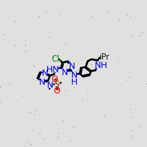 CC(C)C1CCc2cc(Nc3ncc(Cl)c(NCc4nccnc4N(C)S(C)(=O)=O)n3)ccc2CN1